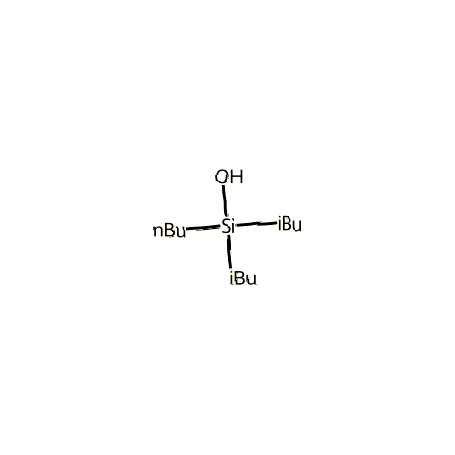 CCCC[Si](O)(C(C)CC)C(C)CC